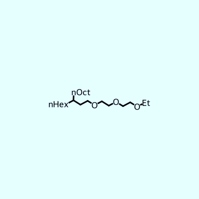 [CH2]COCCOCCOCCC(CCCCCC)CCCCCCCC